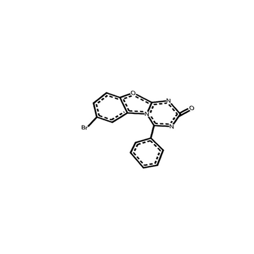 O=c1nc(-c2ccccc2)n2c(n1)oc1ccc(Br)cc12